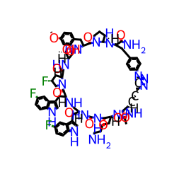 COc1ccc(CC2NC(=O)[C@H]([C@H](C)O)NC(=O)[C@@H]3C[C@H](F)CN3C(=O)[C@@H](Cc3c[nH]c4ccc(F)cc34)NC(=O)[C@@H](Cc3c[nH]c4ccc(F)cc34)NC(=O)NC(=O)[C@H](CCCCN)NC(=O)[C@H](NC(C)=O)CCc3cn(nn3)-c3ccc(cc3)C[C@@H](C(N)=O)N[C@]3(C)CCCN3C2=O)cc1